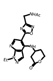 CCn1ncc2c(NC3CCOC(=O)C3)c(-c3nc(CNC(C)=O)no3)cnc21